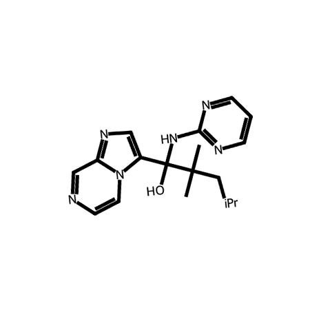 CC(C)CC(C)(C)C(O)(Nc1ncccn1)c1cnc2cnccn12